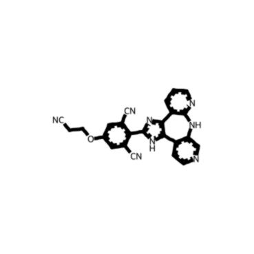 N#CCCOc1cc(C#N)c(-c2nc3c([nH]2)-c2ccncc2Nc2ncccc2-3)c(C#N)c1